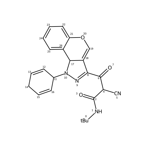 CC(C)(C)NC(=O)C(C#N)C(=O)C1=NN(C2C=CCC=C2)C2C1=COc1ccccc12